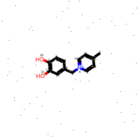 Cc1cc[n+](Cc2ccc(O)c(O)c2)cc1